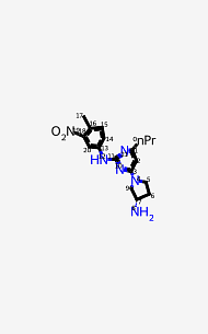 CCCc1cc(N2CC[C@H](N)C2)nc(Nc2ccc(C)c([N+](=O)[O-])c2)n1